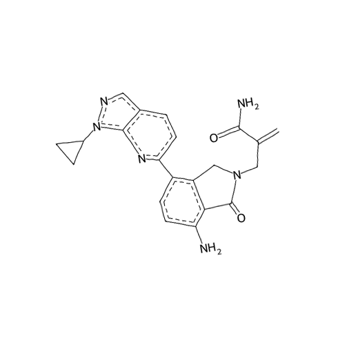 C=C(CN1Cc2c(-c3ccc4cnn(C5CC5)c4n3)ccc(N)c2C1=O)C(N)=O